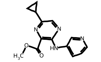 COC(=O)c1nc(C2CC2)cnc1Nc1cccnc1